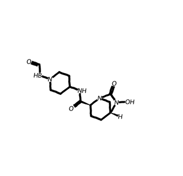 O=CBN1CCC(NC(=O)[C@@H]2CC[C@@H]3CN2C(=O)N3O)CC1